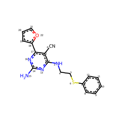 N#Cc1c(NCCSc2ccccc2)nc(N)nc1-c1ccco1